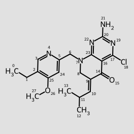 CCc1cnc(CN2C/C(=C\C(C)C)C(=O)c3c(Cl)nc(N)nc32)cc1OC